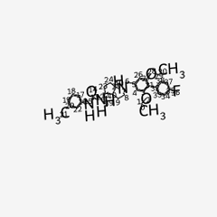 CCOc1cc(CN2CC[C@H]3C(NC(=O)Nc4cccc(C)c4)CC[C@H]32)cc(OCC)c1-c1ccc(F)cc1